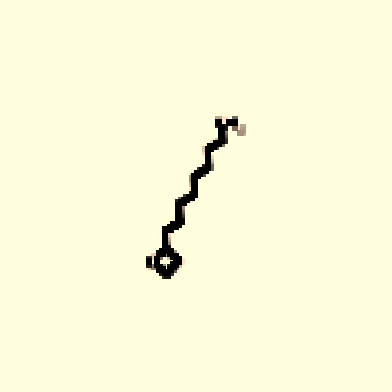 CCCCCCCCC[C]1CCO1